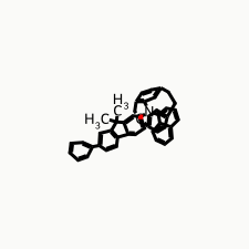 CC1(C)c2cc(-c3ccccc3)ccc2-c2ccc(N(c3cc4ccc3CCc3ccc(cc3)CC4)c3cccc4ccccc34)cc21